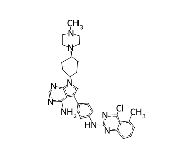 Cc1cccc2nc(Nc3ccc(-c4cn([C@H]5CC[C@H](N6CCN(C)CC6)CC5)c5ncnc(N)c45)cc3)nc(Cl)c12